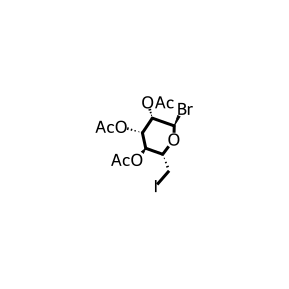 CC(=O)O[C@@H]1[C@H](OC(C)=O)[C@@H](Br)O[C@H](CI)[C@H]1OC(C)=O